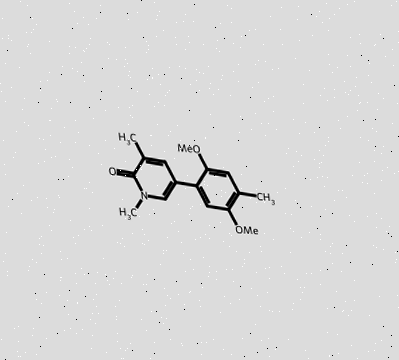 COc1cc(-c2cc(C)c(=O)n(C)c2)c(OC)cc1C